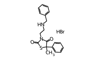 Br.CC1(c2ccccc2)SC(=O)N(CCNCc2ccccc2)C1=O